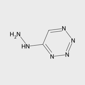 NNc1cnnnn1